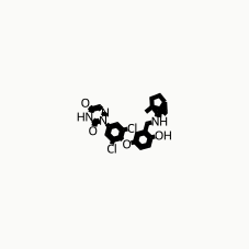 CC1(C)C2CCC1(C)C(NCc1cc(Oc3c(Cl)cc(-n4ncc(=O)[nH]c4=O)cc3Cl)ccc1O)C2